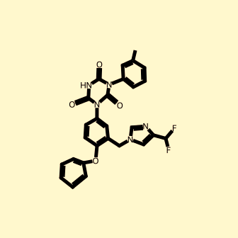 Cc1cccc(-n2c(=O)[nH]c(=O)n(-c3ccc(Oc4ccccc4)c(Cn4cnc(C(F)F)c4)c3)c2=O)c1